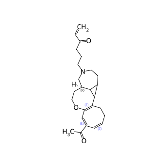 C=CC(=O)CCCN1CCC2C3/C4=C(/C=C(C(C)=O)\C=C/CC4)OCC[C@@H](C1)C23